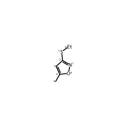 CCSc1cc(C)on1